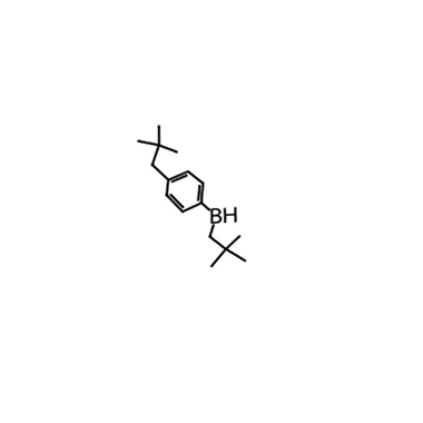 CC(C)(C)CBc1ccc(CC(C)(C)C)cc1